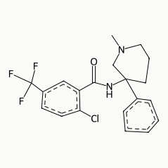 CN1CCCC(NC(=O)c2cc(C(F)(F)F)ccc2Cl)(c2ccccc2)C1